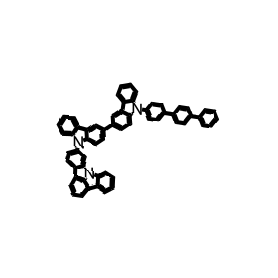 c1ccc(-c2ccc(-c3ccc(-n4c5ccccc5c5cc(-c6ccc7c(c6)c6ccccc6n7-c6ccc7c8cccc9c%10ccccc%10n(c7c6)c98)ccc54)cc3)cc2)cc1